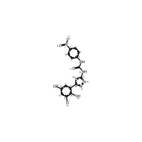 O=C(Nc1ccc([N+](=O)[O-])cc1)Nc1nnc(-c2cc(Cl)cc(Cl)c2O)s1